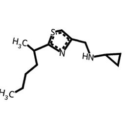 CCCCC(C)c1nc(CNC2CC2)cs1